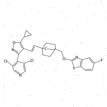 Fc1ccc2sc(OCC34CCC(/C=C/c5c(-c6c(Cl)cncc6Cl)noc5C5CC5)(CC3)CC4)nc2c1